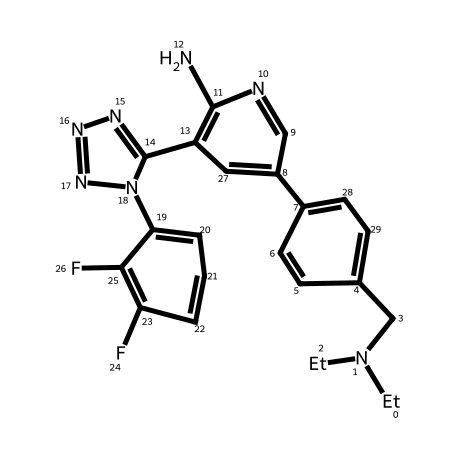 CCN(CC)Cc1ccc(-c2cnc(N)c(-c3nnnn3-c3cccc(F)c3F)c2)cc1